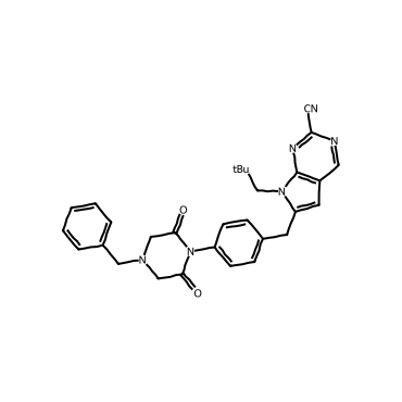 CC(C)(C)Cn1c(Cc2ccc(N3C(=O)CN(Cc4ccccc4)CC3=O)cc2)cc2cnc(C#N)nc21